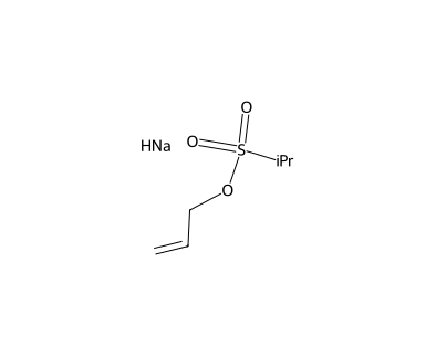 C=CCOS(=O)(=O)C(C)C.[NaH]